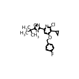 CC(C)(C)c1nc(-c2cc(OCc3ccc(F)cc3)c(C3CC3)c(Cl)n2)no1